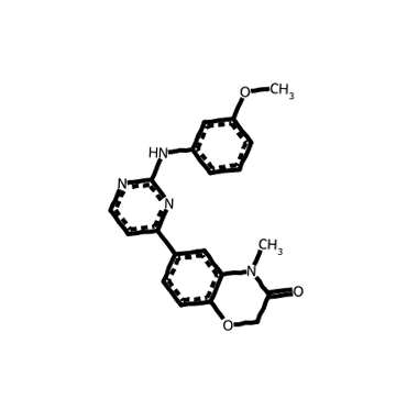 COc1cccc(Nc2nccc(-c3ccc4c(c3)N(C)C(=O)CO4)n2)c1